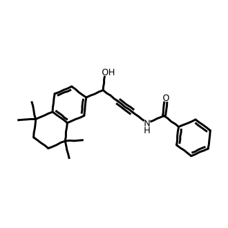 CC1(C)CCC(C)(C)c2cc(C(O)C#CNC(=O)c3ccccc3)ccc21